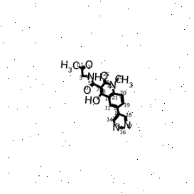 CC(=O)CNC(=O)c1c(O)c2cc(-c3cncnc3)ccc2n(C)c1=O